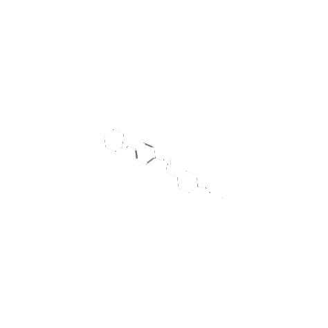 NC1CCC(CNc2ccc(N3CCCCC3)cc2)CC1